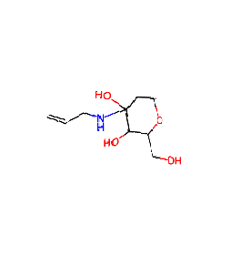 C=CCNC1(O)C[CH]OC(CO)C1O